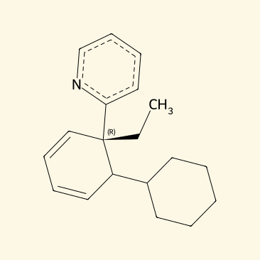 CC[C@]1(c2ccccn2)C=CC=CC1C1CCCCC1